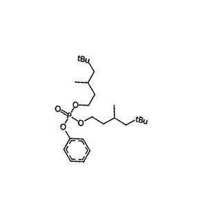 CC(CCOP(=O)(OCCC(C)CC(C)(C)C)Oc1ccccc1)CC(C)(C)C